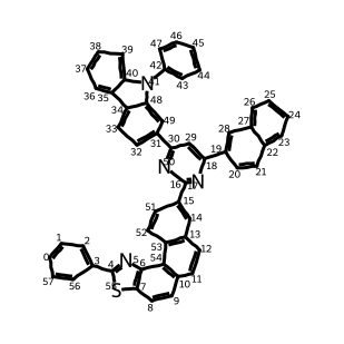 c1ccc(-c2nc3c(ccc4ccc5cc(-c6nc(-c7ccc8ccccc8c7)cc(-c7ccc8c9ccccc9n(-c9ccccc9)c8c7)n6)ccc5c43)s2)cc1